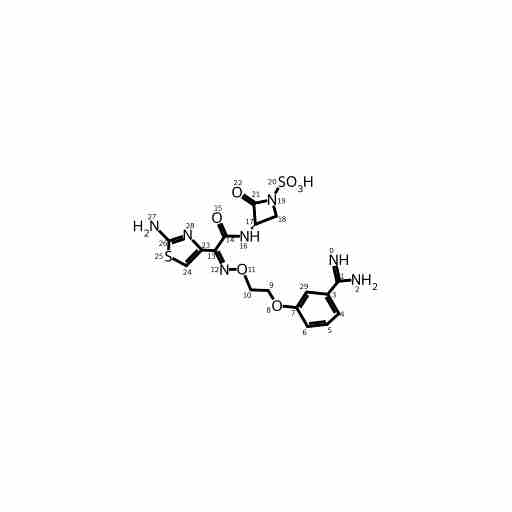 N=C(N)c1cccc(OCCO/N=C(\C(=O)N[C@H]2CN(S(=O)(=O)O)C2=O)c2csc(N)n2)c1